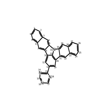 c1ccc2cc3c(cc2c1)c1cc(-c2ncncn2)cc2c4cc5ccccc5cc4n3c12